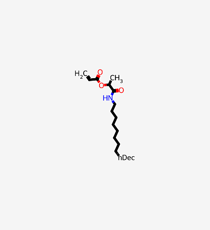 C=CC(=O)OC(C)C(=O)NCCCCCCCCCCCCCCCCCC